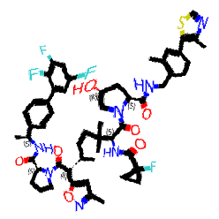 Cc1cc([C@H](C(=O)N2CCC[C@H]2C(=O)N[C@@H](C)c2ccc(-c3cc(F)cc(F)c3F)cc2)C(C)CCC(C)(C)[C@H](NC(=O)C2(F)CC2)C(=O)N2C[C@H](O)C[C@H]2C(=O)NCc2ccc(-c3scnc3C)cc2C)on1